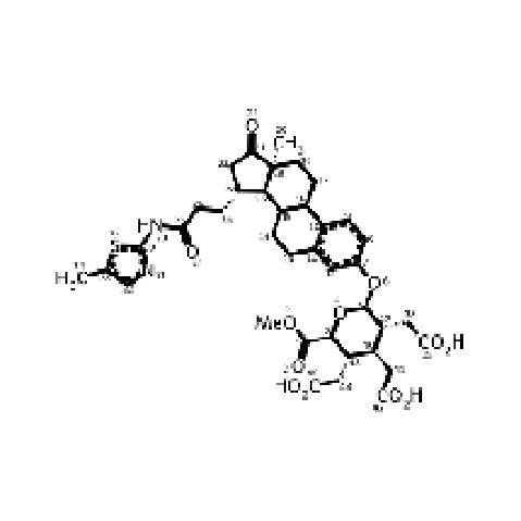 COC(=O)[C@H]1O[C@@H](Oc2ccc3c(c2)CCC2C3CC[C@]3(C)C(=O)C[C@@H](CCC(=O)Nc4ncc(C)s4)C23)[C@H](CC(=O)O)[C@@H](CC(=O)O)[C@@H]1CC(=O)O